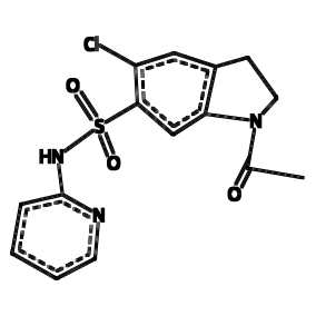 CC(=O)N1CCc2cc(Cl)c(S(=O)(=O)Nc3ccccn3)cc21